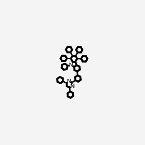 c1ccc(-c2cc(-c3ccccc3)nc(-c3cccc(-c4ccc5c6c(-c7ccccc7)c(-c7ccccc7)c(-c7ccccc7)c(-c7ccccc7)c6n(-c6ccccc6)c5c4)c3)n2)cc1